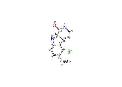 COc1ccc2c(c1Br)C1=CC=NC(=O)C1=N2